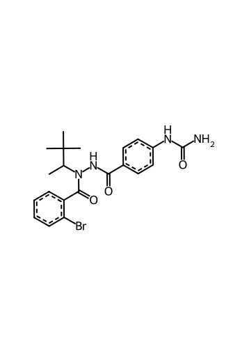 CC(N(NC(=O)c1ccc(NC(N)=O)cc1)C(=O)c1ccccc1Br)C(C)(C)C